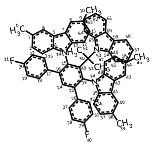 Cc1ccc2c(c1)c1cc(C)ccc1n2-c1c(-c2ccc(F)cc2)cc(-c2ccc(F)cc2)c(-n2c3ccc(C)cc3c3cc(C)ccc32)c1C(C)(C)n1c2ccccc2c2ccccc21